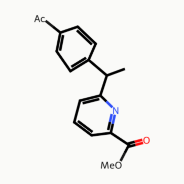 COC(=O)c1cccc(C(C)c2ccc(C(C)=O)cc2)n1